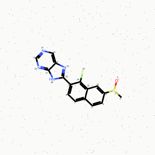 C[S+]([O-])c1ccc2ccc(-c3nc4cncnc4[nH]3)c(F)c2c1